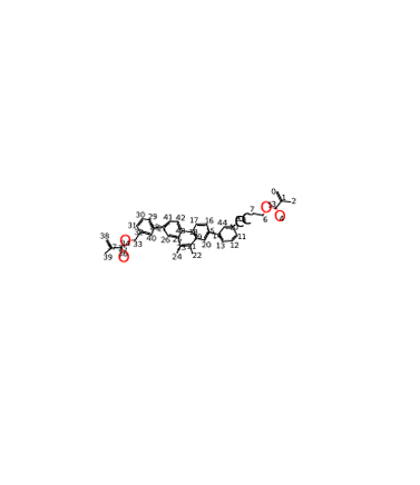 C=C(C)C(=O)OCCCCc1cccc(-c2ccc3c(c2)c(C)c(C)c2cc(-c4cccc(COC(=O)C(=C)C)c4)ccc23)c1